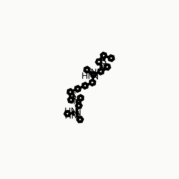 C1=CC(c2ccc(-c3ccc(-c4cccc5c4sc4c(-n6c7ccccc7c7ccc(C8=NC(c9ccccc9)NC(c9ccccc9)N8)cc76)cccc45)cc3)cc2)CC(C2=NC(c3ccc4c5ccccc5n(C5=CCCc6c5sc5c(-c7ccccc7)cccc65)c4c3)=NC(c3ccccc3)N2)=C1